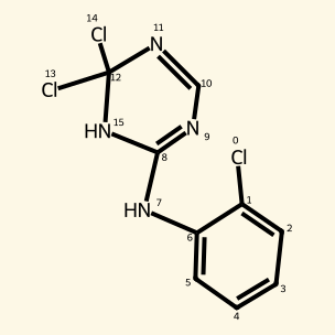 Clc1ccccc1NC1=NC=NC(Cl)(Cl)N1